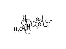 CN(C1CCNCC1)[C@H]1CCCC[C@@H]1Nc1cc(F)c(S(=O)(=O)Nc2cccc(F)n2)cc1Cl